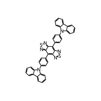 c1ccc2c(c1)c1ccccc1n2-c1ccc(-c2c3c(c(-c4ccc(-n5c6ccccc6c6ccccc65)cc4)c4nsnc24)N=S=N3)cc1